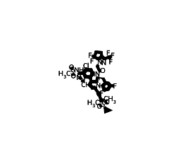 Cn1nc(NS(C)(=O)=O)c2c(Cl)ccc(-c3ccc(C#CC(C)(C)S(=O)(=O)C4CC4)nc3[C@H](Cc3cc(F)cc(F)c3)NC(=O)Cn3nc(C(F)(F)F)c4c3C(F)(F)CC4)c21